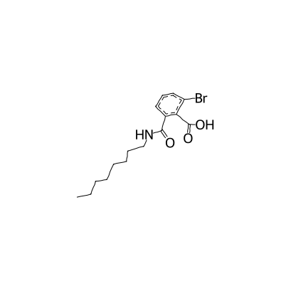 CCCCCCCCNC(=O)c1cccc(Br)c1C(=O)O